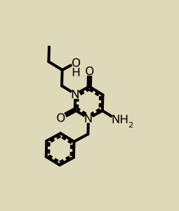 CCC(O)Cn1c(=O)cc(N)n(Cc2ccccc2)c1=O